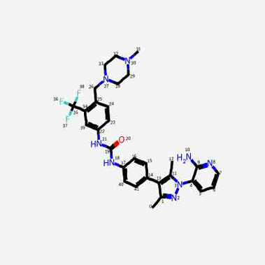 Cc1nn(-c2cccnc2N)c(C)c1-c1ccc(NC(=O)Nc2ccc(CN3CCN(C)CC3)c(C(F)(F)F)c2)cc1